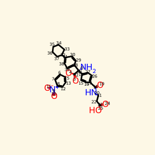 N[C@@](C(=O)Oc1ccc([N+](=O)[O-])cc1)(c1ccc(C(=O)NCCC(=O)O)cc1)c1ccc(C2CCCCC2)cc1